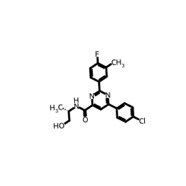 Cc1cc(-c2nc(C(=O)N[C@@H](C)CO)cc(-c3ccc(Cl)cc3)n2)ccc1F